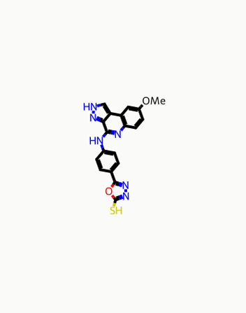 COc1ccc2nc(Nc3ccc(-c4nnc(S)o4)cc3)c3n[nH]cc3c2c1